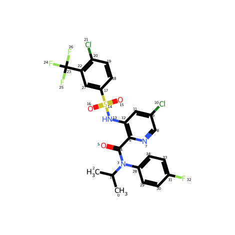 CC(C)N(C(=O)c1ncc(Cl)cc1NS(=O)(=O)c1ccc(Cl)c(C(F)(F)F)c1)c1ccc(F)cc1